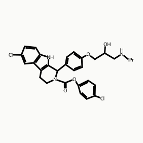 CC(C)NCC(O)COc1ccc(C2c3[nH]c4ccc(Cl)cc4c3CCN2C(=O)Oc2ccc(Cl)cc2)cc1